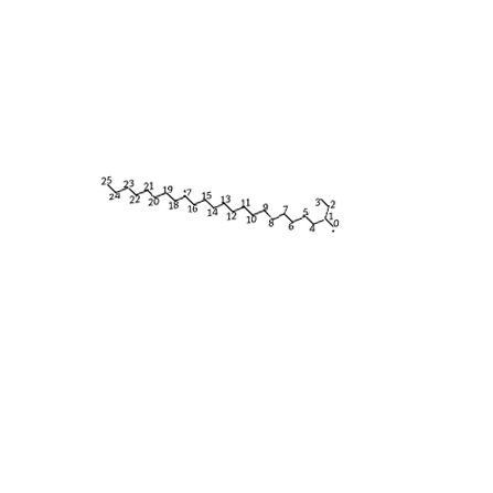 [CH2]C(CC)CCCCCCCCCCCCCCCCCCCCCC